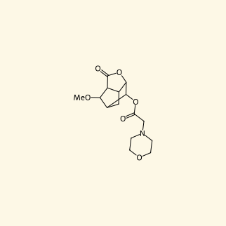 COC1C2CC3C(OC(=O)C31)C2OC(=O)CN1CCOCC1